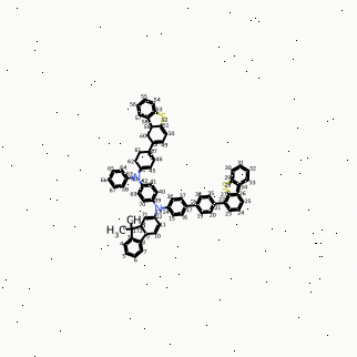 CC1(C)c2ccccc2C2C=CC(N(c3ccc(-c4ccc(-c5cccc6c5sc5ccccc56)cc4)cc3)c3ccc(N(C4=CC=C(C5=CC=C6Sc7ccccc7C6C5)CC4)c4ccccc4)cc3)=CC21